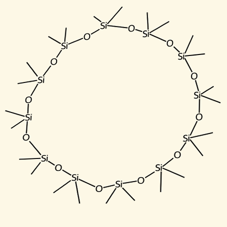 C[Si]1(C)O[Si](C)(C)O[Si](C)(C)O[Si](C)(C)O[Si](C)(C)O[Si](C)(C)O[Si](C)(C)O[Si](C)(C)O[Si](C)(C)O[Si](C)(C)O[Si](C)(C)O[Si](C)(C)O1